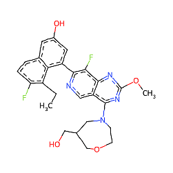 CCc1c(F)ccc2cc(O)cc(-c3ncc4c(N5CCOCC(CO)C5)nc(OC)nc4c3F)c12